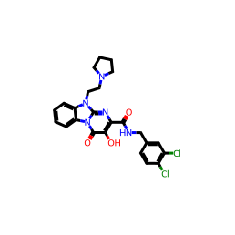 O=C(NCc1ccc(Cl)c(Cl)c1)c1nc2n(CCN3CCCC3)c3ccccc3n2c(=O)c1O